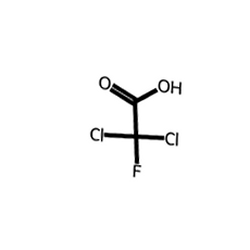 O=C(O)C(F)(Cl)Cl